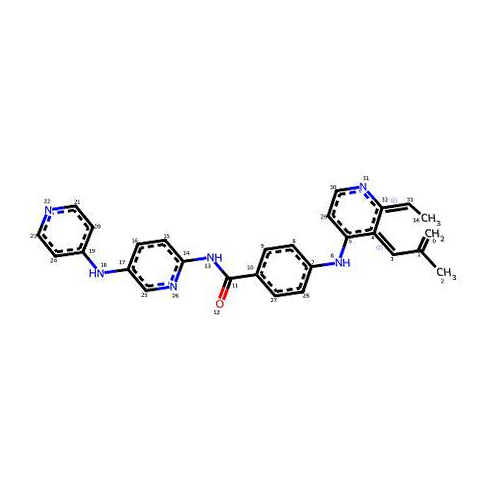 C=C(C)/C=c1/c(Nc2ccc(C(=O)Nc3ccc(Nc4ccncc4)cn3)cc2)ccn/c1=C/C